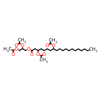 CCCCCCCCCCCCC(CCCCC(CC(=O)OCC(COC(C)=O)OC(C)=O)OC(C)=O)OC(C)=O